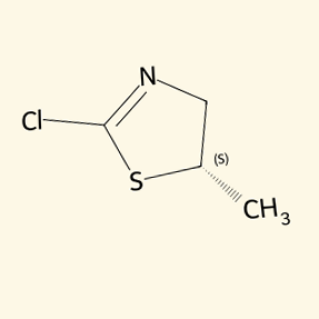 C[C@H]1CN=C(Cl)S1